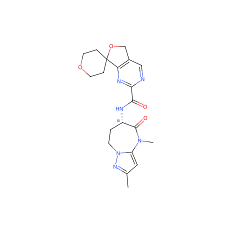 Cc1cc2n(n1)CC[C@H](NC(=O)c1ncc3c(n1)C1(CCOCC1)OC3)C(=O)N2C